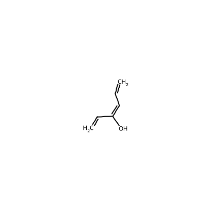 C=C/C=C(/O)C=C